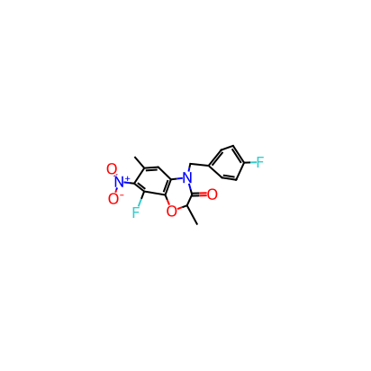 Cc1cc2c(c(F)c1[N+](=O)[O-])OC(C)C(=O)N2Cc1ccc(F)cc1